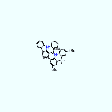 CC(C)(C)c1cc(C(C)(C)C)c2c(c1)C(C)(C)c1cc(C(C)(C)C)cc(C(C)(C)C)c1N2B1c2ccccc2-n2c3ccccc3c3cccc1c32